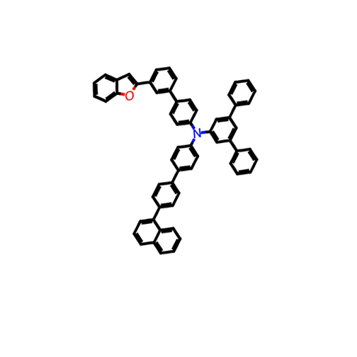 c1ccc(-c2cc(-c3ccccc3)cc(N(c3ccc(-c4ccc(-c5cccc6ccccc56)cc4)cc3)c3ccc(-c4cccc(-c5cc6ccccc6o5)c4)cc3)c2)cc1